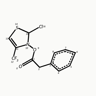 O=C(Cc1ccccc1)ON1C(C(F)(F)F)=CSC1Cl